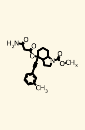 COC(=O)N1CCC2C1CCCC2(C#Cc1cccc(C)c1)OC(=O)CC(N)=O